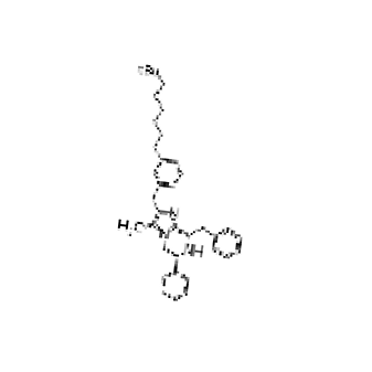 C=c1c(Cc2cccc(CCCCCCC(C)(C)C)c2)nc2n1C=C(c1ccccc1)NC=2Cc1ccccc1